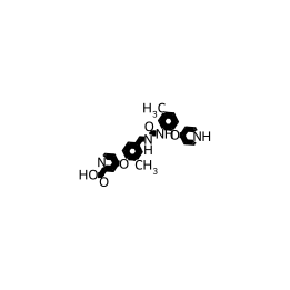 Cc1ccc(OC2CCNCC2)c(NC(=O)NCc2ccc(Oc3ccnc(C(=O)O)c3)c(C)c2)c1